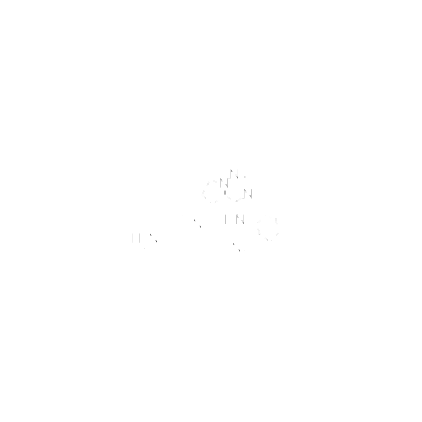 Cc1ccc(C#N)c(Nc2ncnn3ccc(CN4CCC(N)CC4)c23)c1